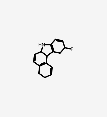 FC1C=CC2=C(C1)C1C3=C(C=CC1N2)CCC=C3